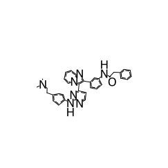 CN(C)CCc1ccc(Nc2nccc(-c3c(-c4cccc(NC(=O)Cc5ccccc5)c4)nc4ccccn34)n2)cc1